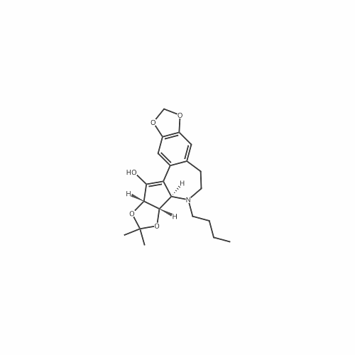 CCCCN1CCc2cc3c(cc2C2=C(O)[C@H]4OC(C)(C)O[C@H]4[C@@H]21)OCO3